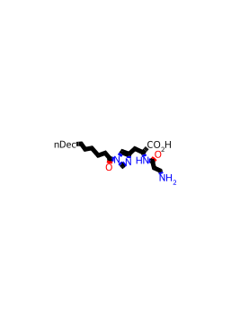 CCCCCCCCCCCCCCCC(=O)n1cnc(CC(NC(=O)CCN)C(=O)O)c1